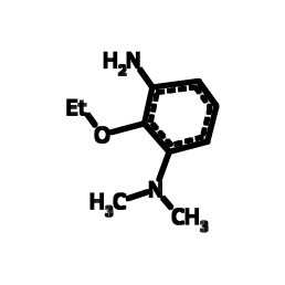 CCOc1c(N)cccc1N(C)C